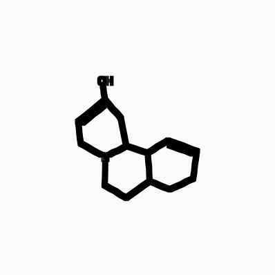 OC1=CCN2CCC3CCC=CC3C2C1